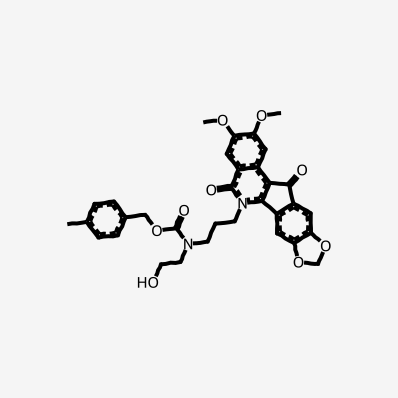 COc1cc2c3c(n(CCCN(CCO)C(=O)OCc4ccc(C)cc4)c(=O)c2cc1OC)-c1cc2c(cc1C3=O)OCO2